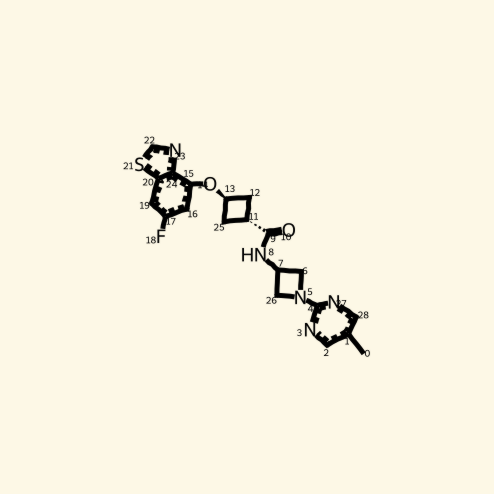 Cc1cnc(N2CC(NC(=O)[C@H]3C[C@H](Oc4cc(F)cc5scnc45)C3)C2)nc1